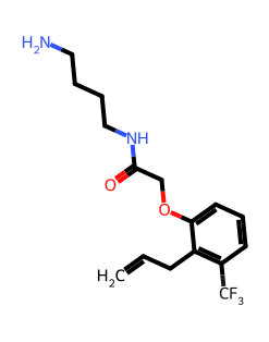 C=CCc1c(OCC(=O)NCCCCN)cccc1C(F)(F)F